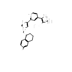 Fc1ccc2c(c1)CCC[C@@H]2Cn1cnc(-c2cc(-c3nn[nH]c3C(F)(F)F)ccn2)c1